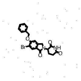 O=C1CCC(N2Cc3cc(OCc4ccccc4)c(Br)cc3C2=O)C(=O)N1